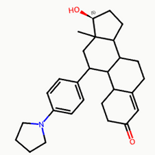 CC12CC(c3ccc(N4CCCC4)cc3)C3C4CCC(=O)C=C4CCC3C1CC[C@@H]2O